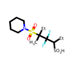 CCC(C(F)(F)C(C)(CC)S(=O)(=O)N1CCCCC1)S(=O)(=O)O